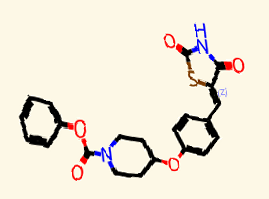 O=C1NC(=O)/C(=C/c2ccc(OC3CCN(C(=O)Oc4ccccc4)CC3)cc2)S1